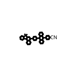 CC1(C)c2ccccc2-c2c1cc(-c1ccc(-c3c4ccccc4c(-c4ccc(C#N)cc4)c4ccccc34)cc1)c1ccccc21